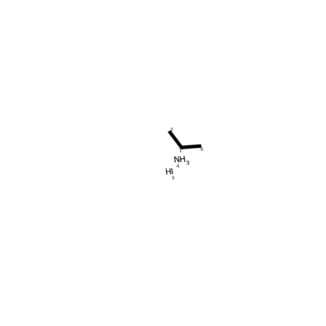 CCC.I.N